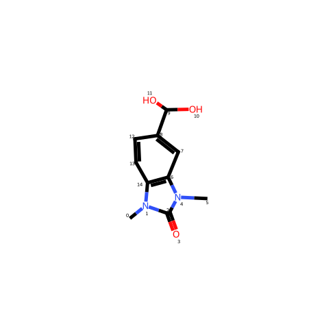 Cn1c(=O)n(C)c2cc(C(O)O)ccc21